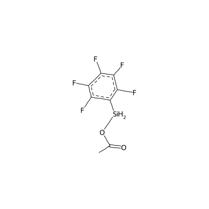 CC(=O)O[SiH2]c1c(F)c(F)c(F)c(F)c1F